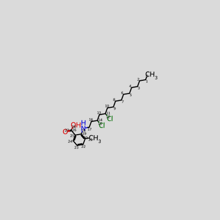 CCCCCCCCCCCC(Cl)CC(Cl)CCNc1c(C)cccc1C(=O)O